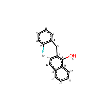 Oc1c(Cc2ccccc2F)ccc2ccccc12